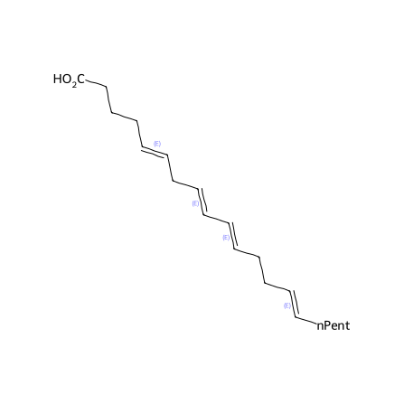 CCCCC/C=C/CC/C=C/C=C/C/C=C/CCCC(=O)O